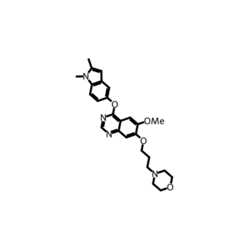 COc1cc2c(Oc3ccc4c(c3)cc(C)n4C)ncnc2cc1OCCCN1CCOCC1